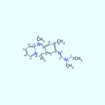 CCN(C)C=Nc1cc(C)c(N(C)c2ccccn2)cc1C